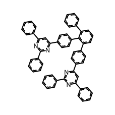 c1ccc(-c2cc(-c3ccc(-c4cccc(-c5ccccc5)c4-c4ccc(-c5cc(-c6ccccc6)nc(-c6ccccc6)n5)cc4)cc3)nc(-c3ccccc3)n2)cc1